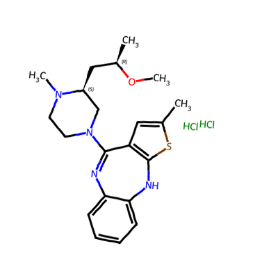 CO[C@H](C)C[C@H]1CN(C2=Nc3ccccc3Nc3sc(C)cc32)CCN1C.Cl.Cl